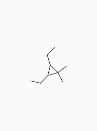 CCC1C(CC)C1(C)C